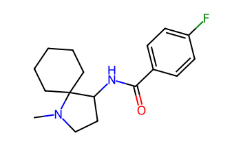 CN1CCC(NC(=O)c2ccc(F)cc2)C12CCCCC2